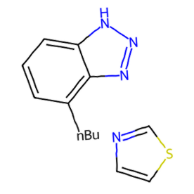 CCCCc1cccc2[nH]nnc12.c1cscn1